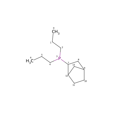 CCCP(CCC)C1CC2CCC1C2